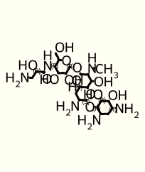 CNC1C(O[C@H]2OC(CO)[C@@H](NC(=O)[C@H](O)CN)C(O)C2O)O[C@H]2CC(N)[C@@H](O[C@@H]3C(N)C[C@@H](N)C(O)[C@H]3O)OC2C1O